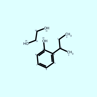 CCC(C)c1ccccc1O.OCCO